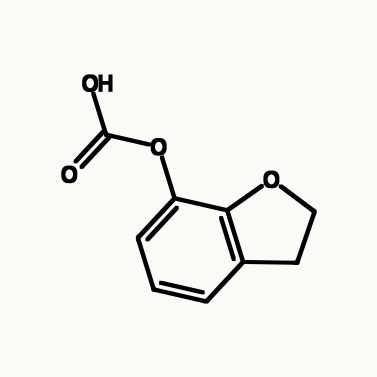 O=C(O)Oc1cccc2c1OCC2